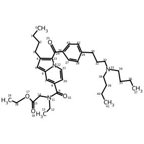 CCCCc1cc2cc(C(=O)N(CC)CC(=O)OCC)ccn2c1C(=O)c1ccc(CCCN(CCCC)CCCC)cc1